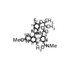 CNC(=O)c1ccc(NC(=O)O[C@H](C)[C@H](C)Oc2cc3sc(-c4cc(C)cc5nc(OC)cnc45)nc3cc2F)cn1